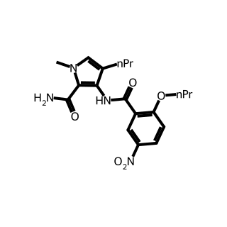 CCCOc1ccc([N+](=O)[O-])cc1C(=O)Nc1c(CCC)cn(C)c1C(N)=O